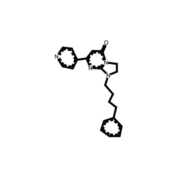 O=c1cc(-c2ccncc2)nc2n1CCN2CCCCc1ccccc1